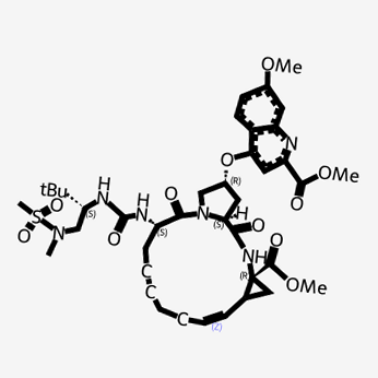 COC(=O)c1cc(O[C@@H]2C[C@H]3C(=O)N[C@]4(C(=O)OC)CC4/C=C\CCCCC[C@H](NC(=O)N[C@H](CN(C)S(C)(=O)=O)C(C)(C)C)C(=O)N3C2)c2ccc(OC)cc2n1